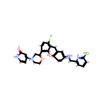 O=c1cc(N2CCOC(c3ccc(F)c4c3Oc3ccc(NCc5cccc(Cl)n5)cc3C4)C2)cc[nH]1